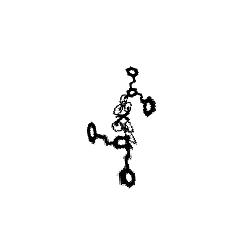 c1ccc(CCc2cc(CCc3ccccc3)cc(OP3OCC4(CO3)COP(Oc3cc(CCc5ccccc5)cc(CCc5ccccc5)c3)OC4)c2)cc1